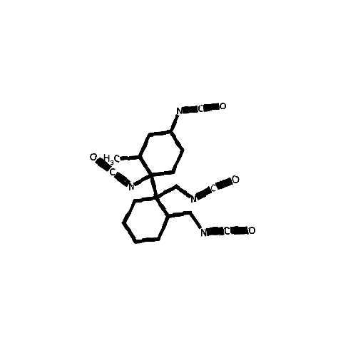 CC1CC(N=C=O)CCC1(N=C=O)C1(CN=C=O)CCCCC1CN=C=O